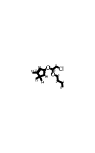 CCCCOC(CCl)OC1C=C(C)C(C)(C)C1